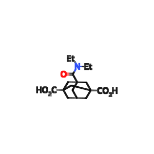 CCN(CC)C(=O)C12CC3CC(C(=O)O)(CC(C(=O)O)(C3)C1)C2